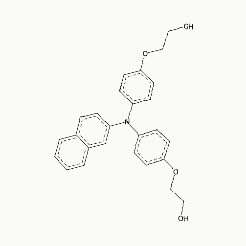 OCCOc1ccc(N(c2ccc(OCCO)cc2)c2ccc3ccccc3c2)cc1